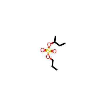 CCCOS(=O)(=O)OC(C)CC